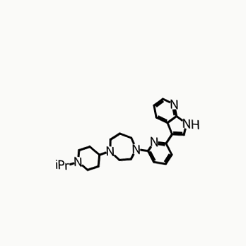 CC(C)N1CCC(N2CCCN(c3cccc(-c4c[nH]c5ncccc45)n3)CC2)CC1